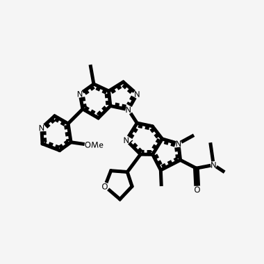 COc1ccncc1-c1cc2c(cnn2-c2cc3c(c(C4CCOC4)n2)c(C)c(C(=O)N(C)C)n3C)c(C)n1